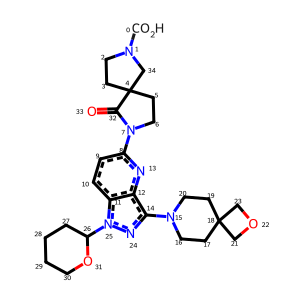 O=C(O)N1CCC2(CCN(c3ccc4c(n3)c(N3CCC5(CC3)COC5)nn4C3CCCCO3)C2=O)C1